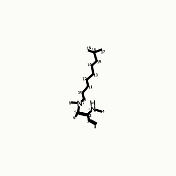 C=C/C(NC)=C(\C)N(C)CCCCCCCC(C)C